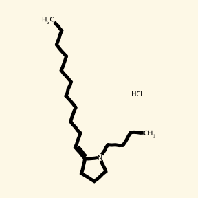 CCCCCCCCCCC=C1CCCN1CCCC.Cl